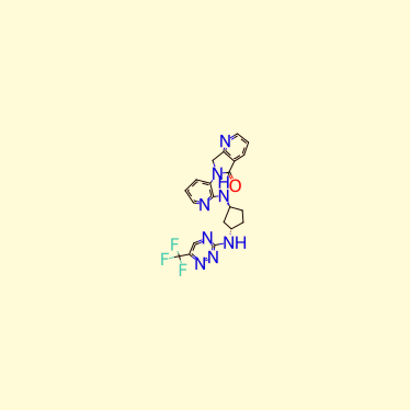 O=C1c2cccnc2CN1c1cccnc1N[C@H]1CC[C@H](Nc2ncc(C(F)(F)F)nn2)C1